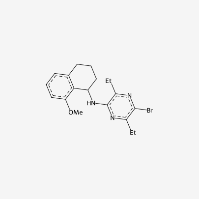 CCc1nc(NC2CCCc3cccc(OC)c32)c(CC)nc1Br